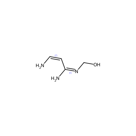 N/C=C\C(N)=N/CO